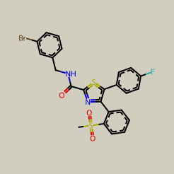 CS(=O)(=O)c1ccccc1-c1nc(C(=O)NCc2cccc(Br)c2)sc1-c1ccc(F)cc1